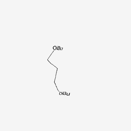 CC(C)COCCCOCC(C)C